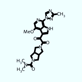 COc1cnc(-n2cnc(C)n2)c2[nH]cc(C(=O)C(=O)N3CC4CN(C(=O)N(C)C)CC4C3)c12